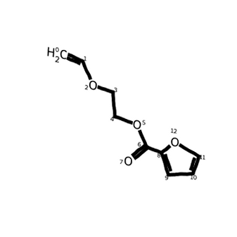 C=COCCOC(=O)c1ccco1